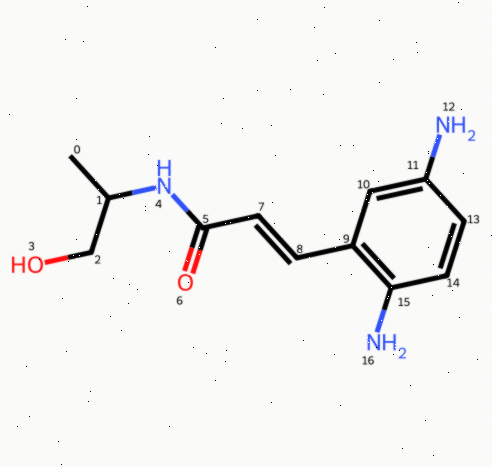 CC(CO)NC(=O)C=Cc1cc(N)ccc1N